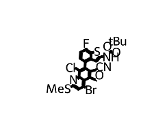 CSc1cc(Br)c2c3c(c(-c4ccc(F)c5sc(NC(=O)OC(C)(C)C)c(C#N)c45)c(Cl)c2n1)COC3